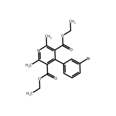 CCOC(=O)c1c(C)nc(C)c(C(=O)OCC)c1-c1cccc(Br)c1